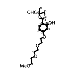 COCCOCCOCCOc1ccc(C2=N[C@@](C)(C=O)CS2)c(O)c1